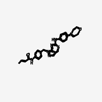 CC=CC(=O)Nc1ccc(Cn2ncc3cnc(Nc4ccc(N5CCOCC5)cc4)nc32)cc1